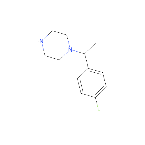 CC(c1ccc(F)cc1)N1CC[N]CC1